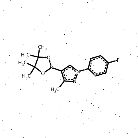 Cc1nn(-c2ccc(F)cc2)cc1B1OC(C)(C)C(C)(C)O1